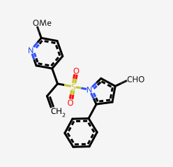 C=CC(c1ccc(OC)nc1)S(=O)(=O)n1cc(C=O)cc1-c1ccccc1